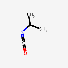 CC([SiH3])N=C=O